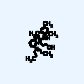 CCCN(CCC)c1cccc2nc(Nc3c(C)cc(C)cc3C)n(CCO)c12